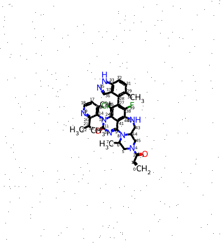 C=CC(=O)N1CC(C)N2c3nc(=O)n(-c4c(C)ccnc4C(C)C)c4c(Cl)c(-c5c(C)ccc6[nH]ncc56)c(F)c(c34)NCC2C1